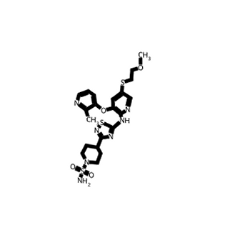 COCCSc1cnc(Nc2nc(C3CCN(S(N)(=O)=O)CC3)ns2)c(Oc2cccnc2C)c1